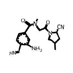 CC1CC(C#N)N(C(=O)CN(C)C(=O)c2ccc(C=N)c(N)c2)C1